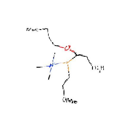 COCCOC(CC(=O)O)P(CCOC)[N+](C)(C)C